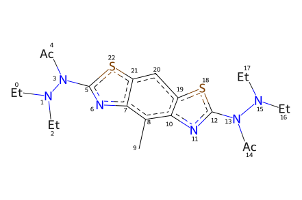 CCN(CC)N(C(C)=O)c1nc2c(C)c3nc(N(C(C)=O)N(CC)CC)sc3cc2s1